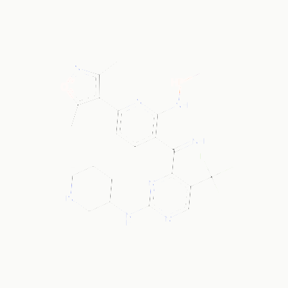 Cc1noc(C)c1-c1ccc(C(=N)c2nc(NC3CC[C@@H](C)NC3)ncc2C(F)(F)F)c(NPI)n1